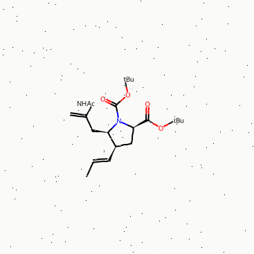 C=C(C[C@@H]1[C@H](C=CC)C[C@H](C(=O)OC(C)(C)C)N1C(=O)OC(C)(C)C)NC(C)=O